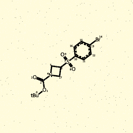 CC(C)(C)OC(=O)N1CC(S(=O)(=O)c2ccc(Br)cc2)C1